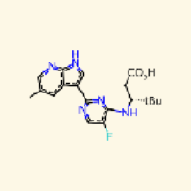 Cc1cnc2[nH]cc(-c3ncc(F)c(N[C@H](CC(=O)O)C(C)(C)C)n3)c2c1